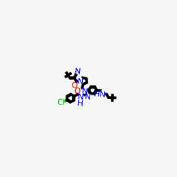 CC(C)(C)C=C(C#N)C(=O)N1CCCC1Cn1c(NC(=O)c2ccc(Cl)cc2)nc2cc(CNCCC(C)(C)C)ccc21